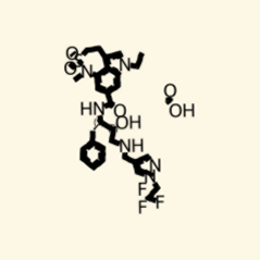 CCn1cc2c3c(cc(C(=O)N[C@@H](Cc4ccccc4)[C@H](O)CNCc4cnn(CC(F)(F)F)c4)cc31)N(C)S(=O)(=O)CC2.O=CO